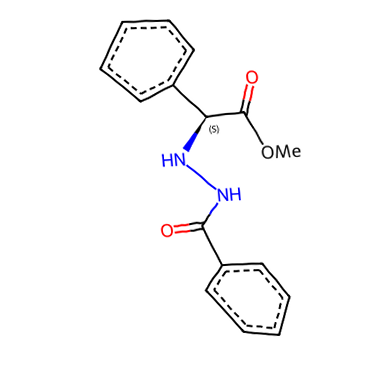 COC(=O)[C@@H](NNC(=O)c1ccccc1)c1ccccc1